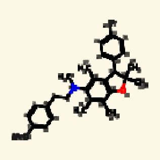 COc1ccc(CCN(C)c2c(C)c(C)c3c(c2C)C(c2ccc(C(C)C)cc2)C(C)(C)O3)cc1